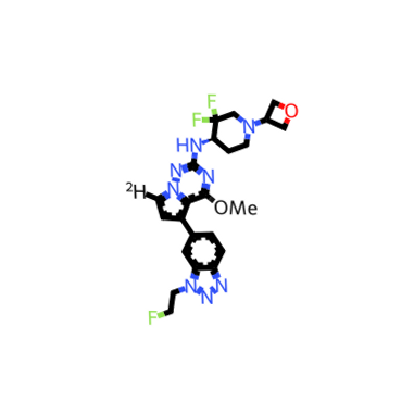 [2H]c1cc(-c2ccc3nnn(CCF)c3c2)c2c(OC)nc(N[C@@H]3CCN(C4COC4)CC3(F)F)nn12